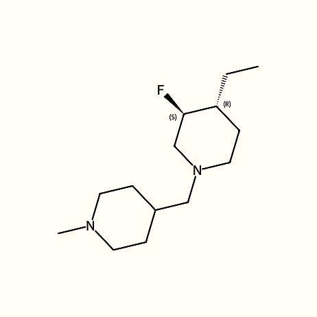 CC[C@@H]1CCN(CC2CCN(C)CC2)C[C@H]1F